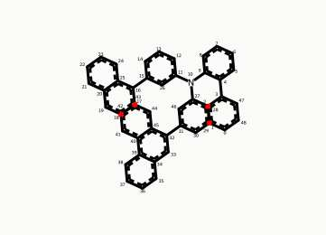 c1ccc(-c2ccccc2N(c2cccc(-c3cccc4ccccc34)c2)c2cccc(-c3cc4ccccc4c4ccccc34)c2)cc1